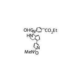 CCOC(=O)Cc1ccc(N(C=O)C2NCCc3c(-c4ccc(C(=O)NC)nc4)cccc32)cc1